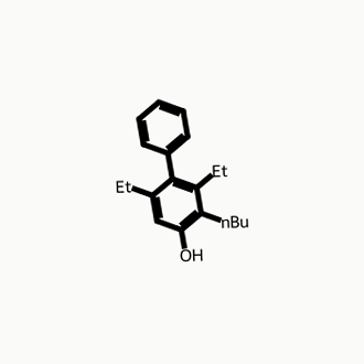 CCCCc1c(O)cc(CC)c(-c2ccccc2)c1CC